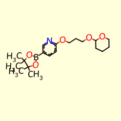 CC1(C)OB(c2ccc(OCCCOC3CCCCO3)nc2)OC1(C)C